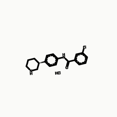 Cl.O=C(Nc1ccc([C@H]2CCCNC2)cc1)c1cccc(Cl)c1